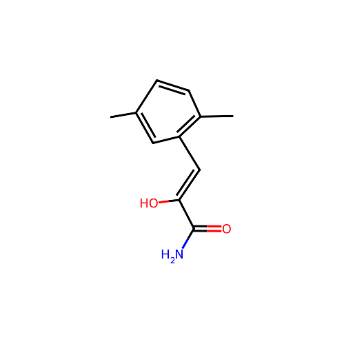 Cc1ccc(C)c(/C=C(\O)C(N)=O)c1